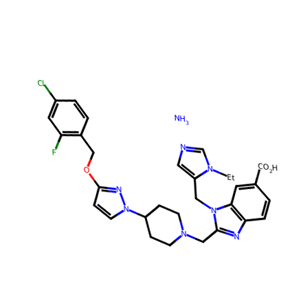 CCn1cncc1Cn1c(CN2CCC(n3ccc(OCc4ccc(Cl)cc4F)n3)CC2)nc2ccc(C(=O)O)cc21.N